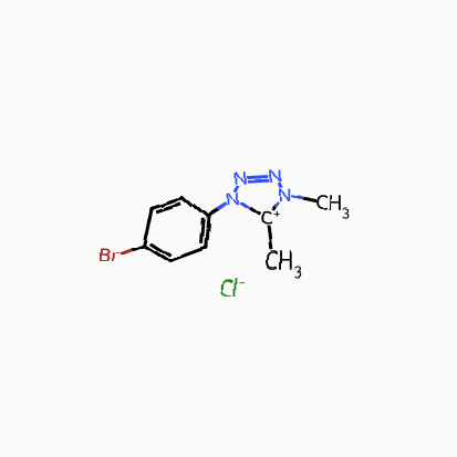 C[c+]1n(C)nnn1-c1ccc(Br)cc1.[Cl-]